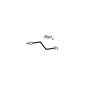 CCCCO.[PbH4]